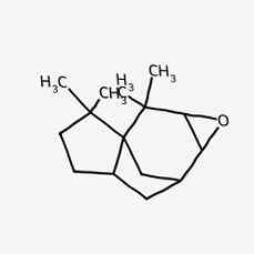 CC1(C)CCC2CC3CC21C(C)(C)C1OC31